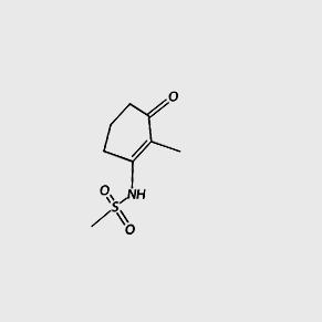 CC1=C(NS(C)(=O)=O)CCCC1=O